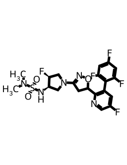 CN(C)S(=O)(=O)N[C@@H]1CN(C2=NOC(c3ncc(F)cc3-c3c(F)cc(F)cc3F)C2)C[C@@H]1F